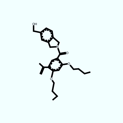 C=C(C)c1cc(C(=O)N2Cc3ccc(CO)cc3C2)c(OCCCC)cc1OCCCC